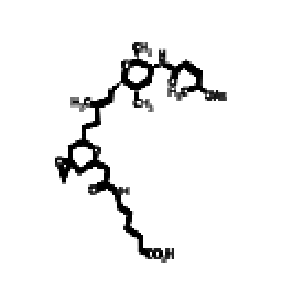 CC(=O)O[C@@H](C)/C=C\C(=O)N[C@@H]1C[C@H](C)[C@H](C/C=C(\C)CC[C@@H]2C[C@]3(CO3)CC(CC(=O)NCCCCCC(=O)O)O2)O[C@@H]1C